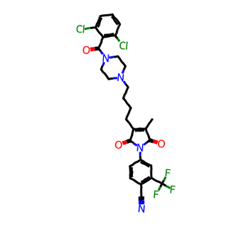 CC1=C(CCCCN2CCN(C(=O)c3c(Cl)cccc3Cl)CC2)C(=O)N(c2ccc(C#N)c(C(F)(F)F)c2)C1=O